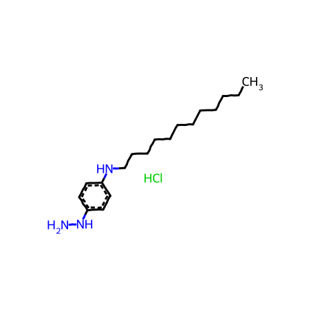 CCCCCCCCCCCCNc1ccc(NN)cc1.Cl